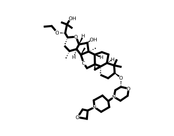 CCO[C@@H]([C@H]1C[C@@H](C)[C@H]2[C@H](O1)[C@H](O)[C@@]1(C)[C@@H]3CC[C@H]4C(C)(C)[C@@H](O[C@H]5CN(C6CCN(C7COC7)CC6)CCO5)CC[C@@]45C[C@@]35CC[C@]21C)C(C)(C)O